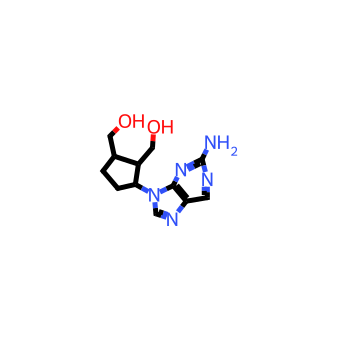 Nc1ncc2ncn(C3CCC(CO)C3CO)c2n1